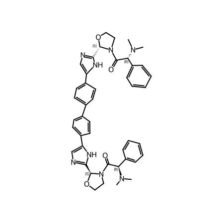 CN(C)[C@@H](C(=O)N1CCO[C@H]1c1ncc(-c2ccc(-c3ccc(-c4cnc([C@@H]5OCCN5C(=O)[C@@H](c5ccccc5)N(C)C)[nH]4)cc3)cc2)[nH]1)c1ccccc1